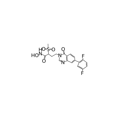 CS(=O)(=O)C(CCn1cnc2cc(-c3cc(F)ccc3F)ccc2c1=O)C(=O)NO